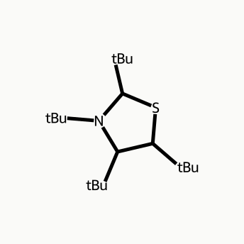 CC(C)(C)C1SC(C(C)(C)C)N(C(C)(C)C)C1C(C)(C)C